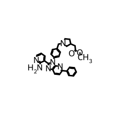 COC(=O)CC1CCN(Cc2ccc(-n3c(-c4cccnc4N)nc4ccc(-c5ccccc5)nc43)cc2)C1